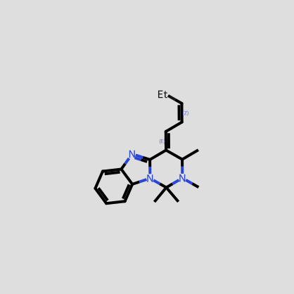 CC/C=C\C=C1\c2nc3ccccc3n2C(C)(C)N(C)C1C